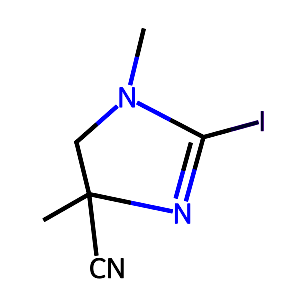 CN1CC(C)(C#N)N=C1I